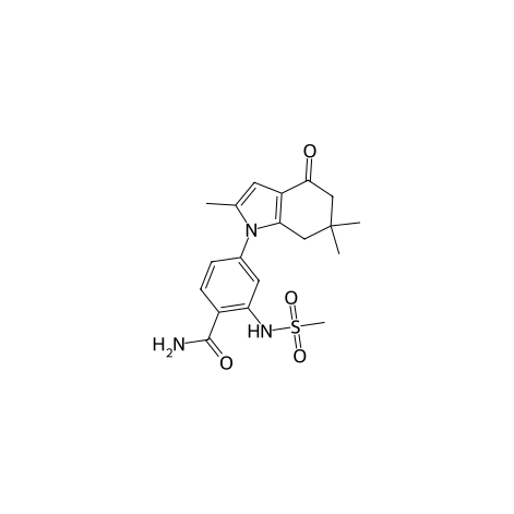 Cc1cc2c(n1-c1ccc(C(N)=O)c(NS(C)(=O)=O)c1)CC(C)(C)CC2=O